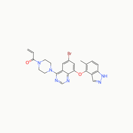 C=CC(=O)N1CCN(c2ncnc3c(Oc4c(C)ccc5[nH]ncc45)cc(Br)cc23)CC1